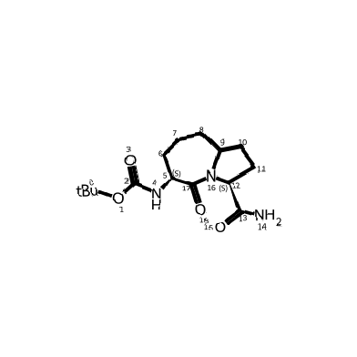 CC(C)(C)OC(=O)N[C@H]1CCCC2CC[C@@H](C(N)=O)N2C1=O